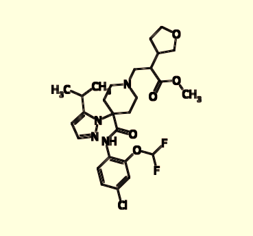 COC(=O)C(CN1CCC(C(=O)Nc2ccc(Cl)cc2OC(F)F)(n2nccc2C(C)C)CC1)C1CCOC1